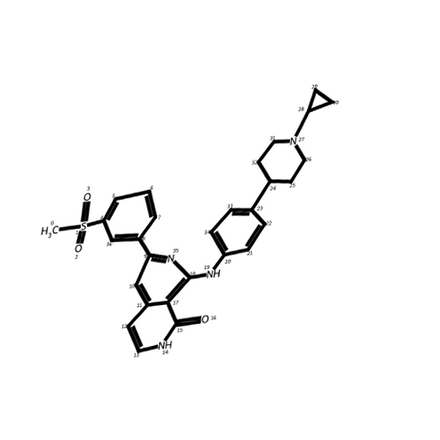 CS(=O)(=O)c1cccc(-c2cc3cc[nH]c(=O)c3c(Nc3ccc(C4CCN(C5CC5)CC4)cc3)n2)c1